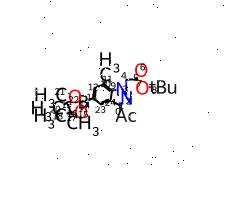 CC(=O)c1nn(CC(=O)OC(C)(C)C)c2c(C)cc(B3OC(C)(C)C(C)(C)O3)cc12